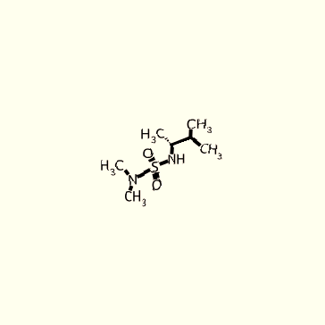 CC(C)[C@@H](C)NS(=O)(=O)N(C)C